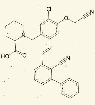 N#CCOc1cc(C=Cc2cccc(-c3ccccc3)c2C#N)c(CN2CCCCC2C(=O)O)cc1Cl